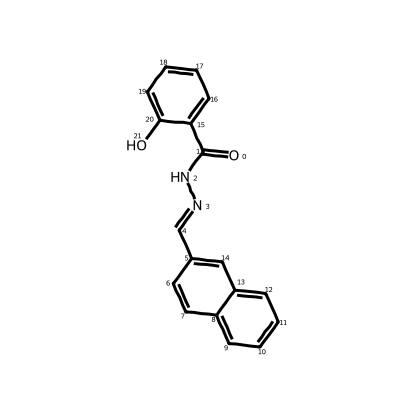 O=C(NN=Cc1ccc2ccccc2c1)c1ccccc1O